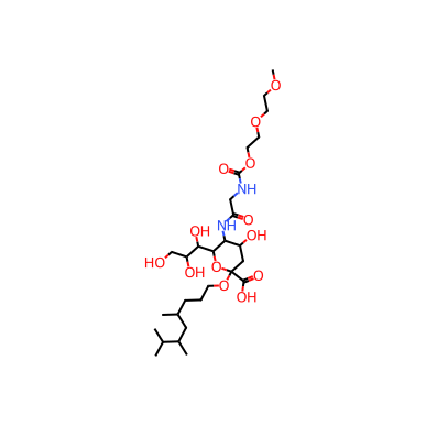 COCCOCCOC(=O)NCC(=O)NC1C(O)CC(OCCCC(C)CC(C)C(C)C)(C(=O)O)OC1C(O)C(O)CO